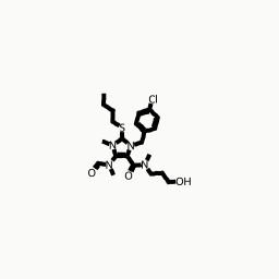 CCCCSC1N(C)C(N(C)C=O)=C(C(=O)N(C)CCCO)N1Cc1ccc(Cl)cc1